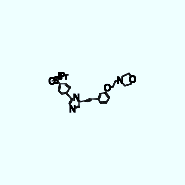 CC(C)[S+]([O-])c1ccc(-c2cncc(C#Cc3cccc(OCCN4CCOCC4)c3)n2)cc1